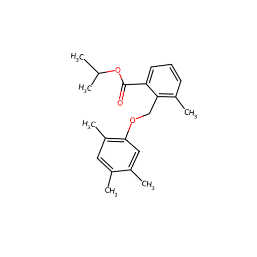 Cc1cc(C)c(OCc2c(C)cccc2C(=O)OC(C)C)cc1C